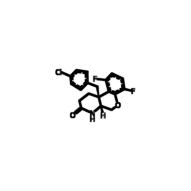 O=C1CC[C@]2(Cc3ccc(Cl)cc3)c3c(F)ccc(F)c3OC[C@@H]2N1